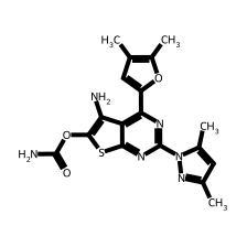 Cc1cc(C)n(-c2nc(-c3cc(C)c(C)o3)c3c(N)c(OC(N)=O)sc3n2)n1